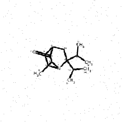 CC1C(=O)C2CCN1C(C(C)C)(C(C)C)C2